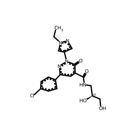 CCn1cc(-n2nc(-c3ccc(Cl)cc3)cc(C(=O)NC[C@H](O)CO)c2=O)cn1